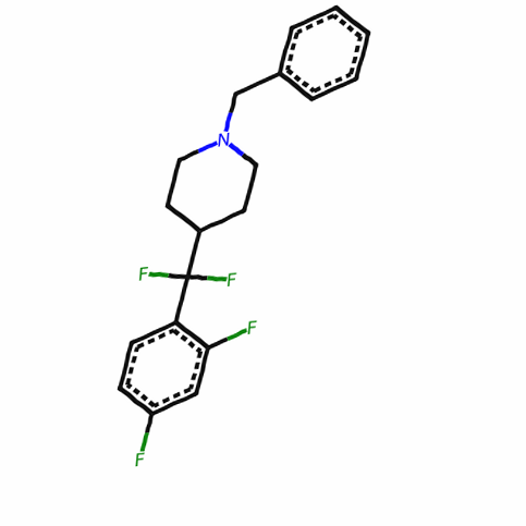 Fc1ccc(C(F)(F)C2CCN(Cc3ccccc3)CC2)c(F)c1